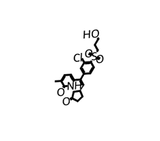 Cc1ccc(/C(=C\[C@H]2CCC(=O)C2)c2ccc(S(=O)(=O)CCCO)c(Cl)c2)[nH]c1=O